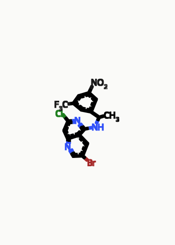 CC(Nc1nc(Cl)cc2ncc(Br)cc12)c1cc([N+](=O)[O-])cc(C(F)(F)F)c1